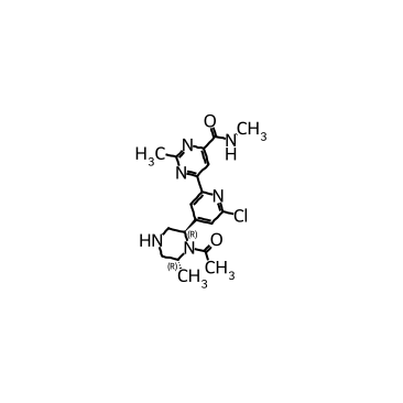 CNC(=O)c1cc(-c2cc([C@@H]3CNC[C@@H](C)N3C(C)=O)cc(Cl)n2)nc(C)n1